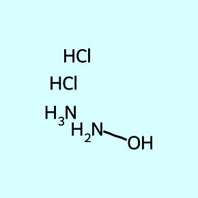 Cl.Cl.N.NO